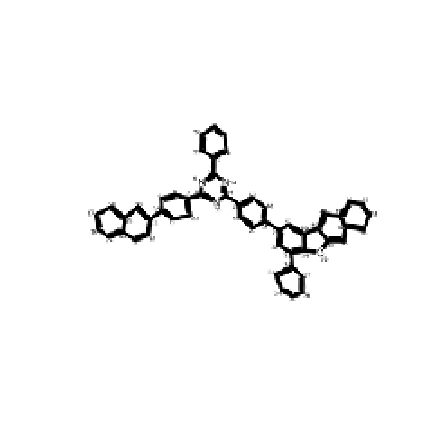 c1ccc(-c2nc(-c3ccc(-c4ccc5ccccc5c4)cc3)nc(-c3ccc(-c4cc(-c5ccccc5)c5oc6cc7ccccc7cc6c5c4)cc3)n2)cc1